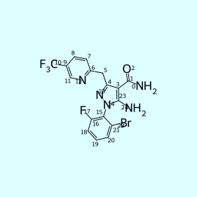 NC(=O)c1c(Cc2ccc(C(F)(F)F)cn2)nn(-c2c(F)cccc2Br)c1N